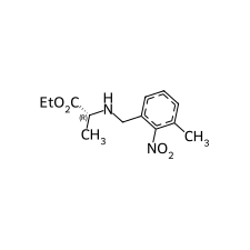 CCOC(=O)[C@@H](C)NCc1cccc(C)c1[N+](=O)[O-]